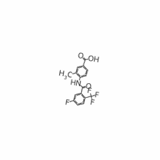 Cc1cc(C(=O)O)ccc1NC(=O)c1cc(F)ccc1C(F)(F)F